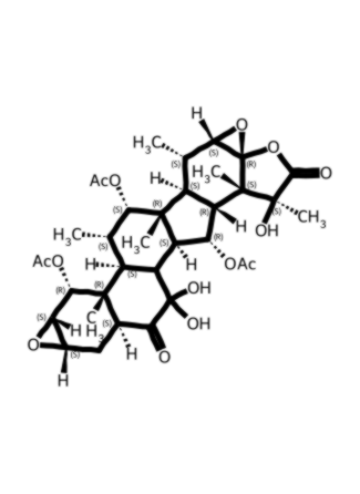 CC(=O)O[C@H]1[C@@H]2[C@H]([C@H](C)[C@@H]3O[C@]34OC(=O)[C@@](C)(O)[C@]24C)[C@]2(C)[C@@H]1C1[C@H]([C@H](C)[C@@H]2OC(C)=O)[C@]2(C)[C@H](C[C@@H]3O[C@@H]3[C@@H]2OC(C)=O)C(=O)C1(O)O